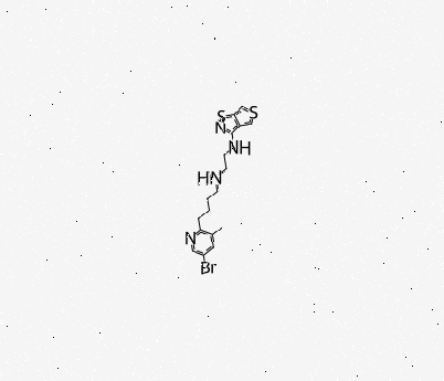 Cc1cc(Br)cnc1CCCCNCCNc1nsc2cscc12